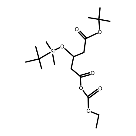 CCOC(=O)OC(=O)CC(CC(=O)OC(C)(C)C)O[Si](C)(C)C(C)(C)C